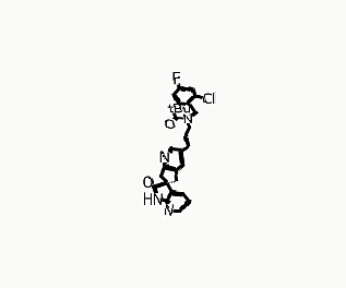 CC(C)(C)C(=O)N(C/C=C/c1cnc2c(c1)C[C@@]1(C2)C(=O)Nc2ncccc21)Cc1ccc(F)cc1Cl